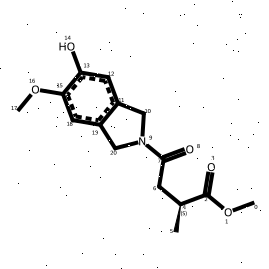 COC(=O)[C@@H](C)CC(=O)N1Cc2cc(O)c(OC)cc2C1